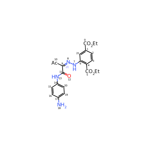 CCOC(=O)c1ccc(C(=O)OCC)c(N/N=C(/C(C)=O)C(=O)Nc2ccc(N)cc2)c1